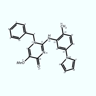 COc1cn(Cc2ccccc2)c(Nc2cc(-n3cccc3)ccc2C)nc1=O